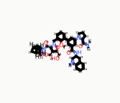 COc1c(CN2O[C@@H](CO)[C@@H]([C@H](C)O)[C@H]2C(=O)N[C@H]2C[C@H]3C[C@@H]([C@@H]2C)C3(C)C)cccc1-c1cc(C(=O)NC(Cc2ccccc2)CN(C)C)cc(N2CCCC2C(=O)N(C)C)c1